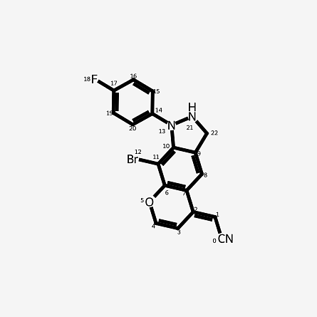 N#CC=C1C=COc2c1cc1c(c2Br)N(c2ccc(F)cc2)NC1